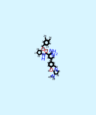 COc1ccc(-c2cnc(N)c(C(=O)N[C@H]3CCC[C@@H]3OCc3ccc(C)c(C)c3)c2)cc1CN1CCC(N(C)C)C1